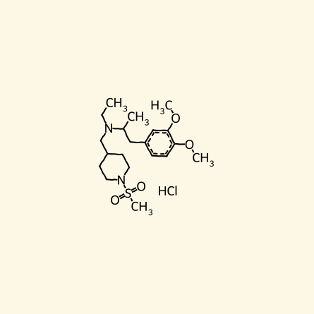 CCN(CC1CCN(S(C)(=O)=O)CC1)C(C)Cc1ccc(OC)c(OC)c1.Cl